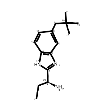 CC[C@H](N)c1nc2cc(CC(C)(C)C)ccc2[nH]1